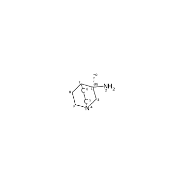 C[C@]1(N)CN2CCC1CC2